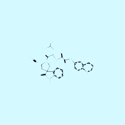 CC(C)C[C@@H](C(=O)N1CC2(C[C@H]1C#N)C(=O)Nc1ccccc12)N(C)C(=O)C(=O)Nc1ccc2ncccc2c1